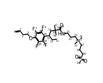 C=CCCOc1c(F)c(F)c(C(CC)CC(C)(C)C(=O)NCCC[N+](C)(C)CCCS(C)(=O)=O)c(F)c1F